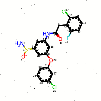 N[S+]([O-])c1cc(NC(=O)Cc2c(F)cccc2Cl)cc(Oc2cccc(Cl)c2)c1